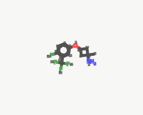 CC1(N)CC(Oc2ccc(F)c(C(F)(F)F)c2)C1